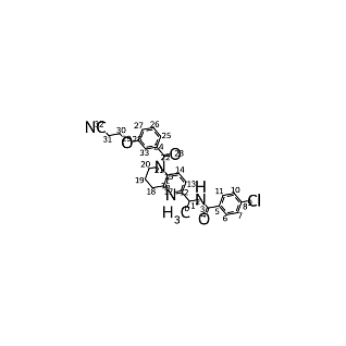 CC(NC(=O)c1ccc(Cl)cc1)c1ccc2c(n1)CCCN2C(=O)c1cccc(OCCC#N)c1